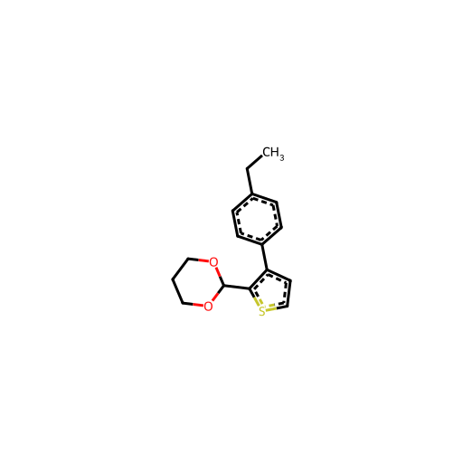 CCc1ccc(-c2ccsc2C2OCCCO2)cc1